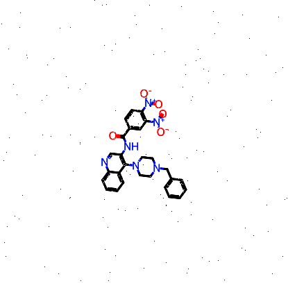 O=C(Nc1cnc2ccccc2c1N1CCN(Cc2ccccc2)CC1)c1ccc([N+](=O)[O-])c([N+](=O)[O-])c1